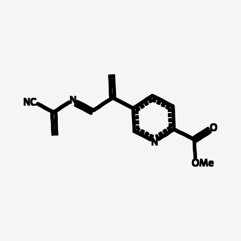 C=C(C#N)/N=C/C(=C)c1ccc(C(=O)OC)nc1